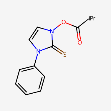 CC(C)C(=O)On1ccn(-c2ccccc2)c1=S